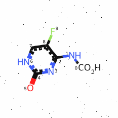 O=C(O)Nc1nc(=O)[nH]cc1F